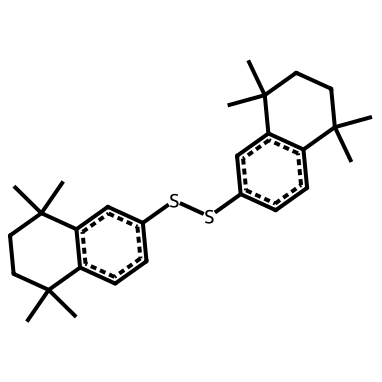 CC1(C)CCC(C)(C)c2cc(SSc3ccc4c(c3)C(C)(C)CCC4(C)C)ccc21